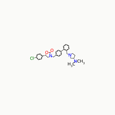 CN(C)[C@H]1CCN(Cc2ccccc2-c2ccc(CN3C[C@@H](c4ccc(Cl)cc4)OC3=O)cc2)C1